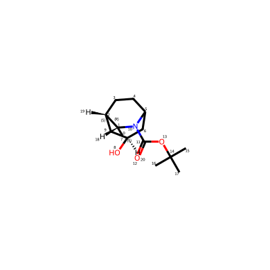 C[C@@H]1[C@H]2CCC(C[C@@H](O)C2)N1C(=O)OC(C)(C)C